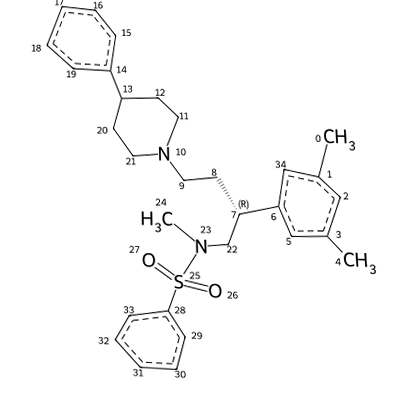 Cc1cc(C)cc([C@@H](CCN2CCC(c3ccccc3)CC2)CN(C)S(=O)(=O)c2ccccc2)c1